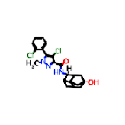 Cn1nc(C(=O)N[C@H]2C3CC4CC2C[C@](O)(C4)C3)c(Cl)c1-c1ccccc1Cl